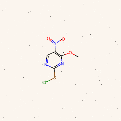 COc1nc(SCl)ncc1[N+](=O)[O-]